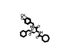 COc1ccc(CNC(=O)[C@H](CS(=O)(=O)CC2CCCCC2)NC(=O)C2CCCCCC2)cc1